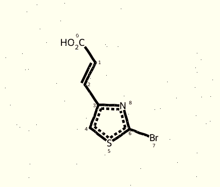 O=C(O)C=Cc1csc(Br)n1